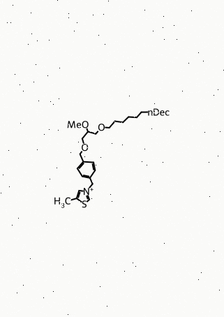 CCCCCCCCCCCCCCCCOCC(COCc1ccc(C[n+]2csc(C)c2)cc1)OC